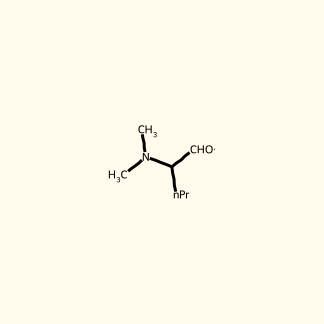 CCCC([C]=O)N(C)C